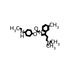 CCNC1CCC(OC(=O)n2cc(CCN(C)C)c3cc(C)ccc32)CC1